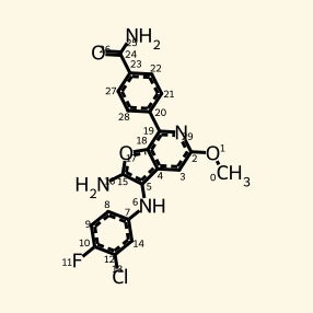 COc1cc2c(Nc3ccc(F)c(Cl)c3)c(N)oc2c(-c2ccc(C(N)=O)cc2)n1